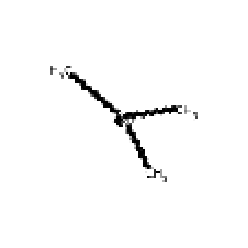 CCCCCCCCCCCCCCCn1cc[n+](CCCCCCCCCCCC)c1CCCCCCCCCCCC